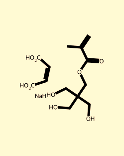 C=C(C)C(=O)OCC(CO)(CO)CO.O=C(O)/C=C\C(=O)O.[NaH]